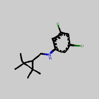 CC1(C)C(CNc2cc(Cl)cc(Cl)c2)C1(C)C